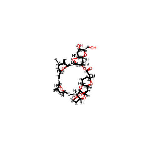 C=C1C2C[C@@H]3O[C@H]4C[C@@H](O)[C@@H](CO)O[C@H]4[C@H](C)[C@H]3OC(=O)C[C@H]3CC[C@@H]4OC5[C@H]6O[C@@H]7C[C@](CC[C@H]8CC(=C)[C@H](CC[C@@H](C[C@H]1C)O2)O8)(OC6[C@H]4O3)O[C@@H]57